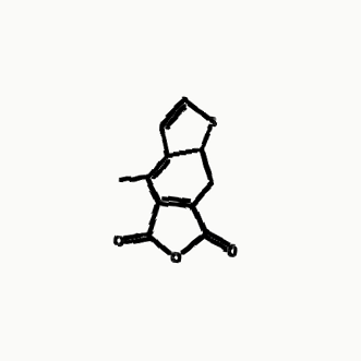 CC1=C2C=CSC2CC2=C1C(=O)OC2=O